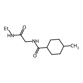 CCNC(=O)CNC(=O)C1CCC(C)CC1